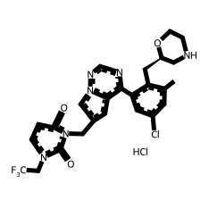 Cc1cc(Cl)cc(-c2ncnn3cc(Cn4c(=O)ccn(CC(F)(F)F)c4=O)cc23)c1C[C@@H]1CNCCO1.Cl